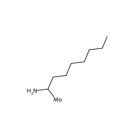 CCCCCCC[CH](N)[Mo]